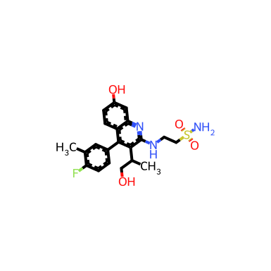 Cc1cc(-c2c(C(C)CO)c(NCCS(N)(=O)=O)nc3cc(O)ccc23)ccc1F